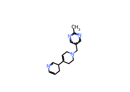 Cc1ncc(CN2CC=C(C3C=NC=CC3)CC2)cn1